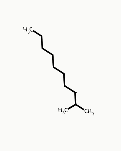 CCCCCCC[CH]C(C)C